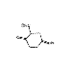 N=C1CCC(=O)C(C=O)C1